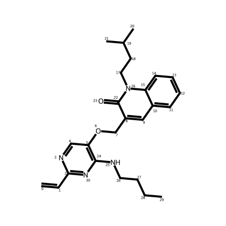 C=Cc1ncc(OCc2cc3ccccc3n(CCC(C)C)c2=O)c(NCCCC)n1